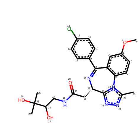 COc1ccc2c(c1)C(c1ccc(Cl)cc1)=N[C@@H](CC(=O)NCC(O)C(C)(C)O)c1nnc(C)n1-2